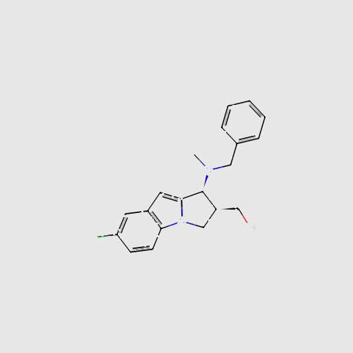 CN(Cc1ccccc1)[C@@H]1c2cc3cc(Br)ccc3n2C[C@@H]1CO